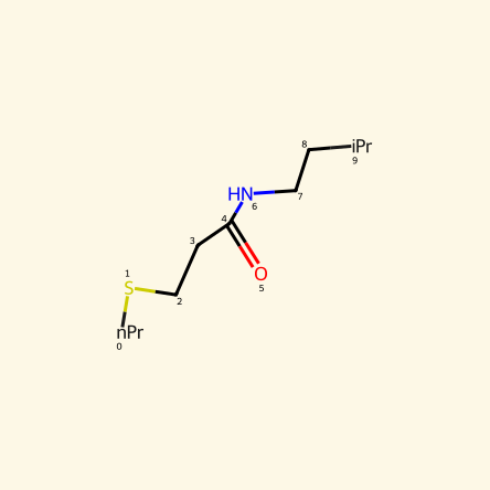 CCCSCCC(=O)NCCC(C)C